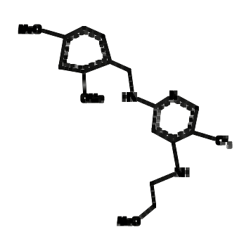 COCCNc1cc(NCc2ccc(OC)cc2OC)ncc1C(F)(F)F